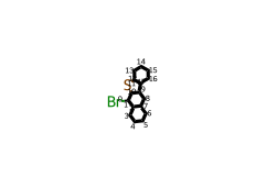 Brc1c2ccccc2cc2c1sc1ccccc12